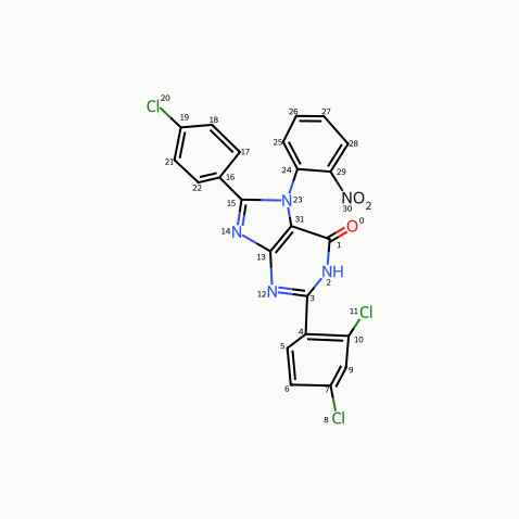 O=c1[nH]c(-c2ccc(Cl)cc2Cl)nc2nc(-c3ccc(Cl)cc3)n(-c3ccccc3[N+](=O)[O-])c12